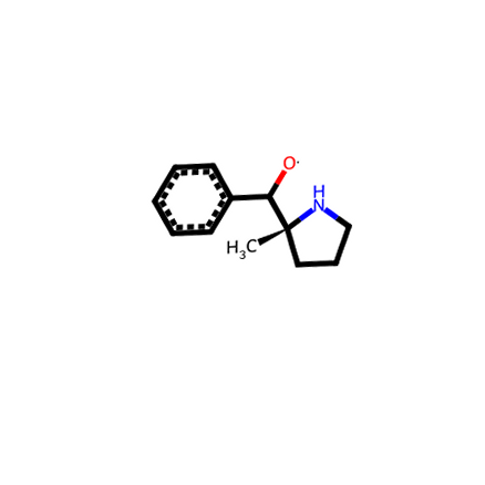 C[C@]1(C([O])c2ccccc2)CCCN1